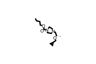 CCCCOC(=O)N1CCN(C[C@H](C)OCC2CC2)CC1